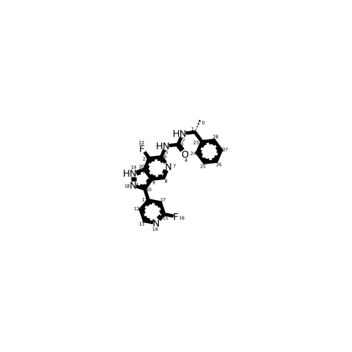 C[C@@H](NC(=O)Nc1ncc2c(-c3ccnc(F)c3)n[nH]c2c1F)c1ccccc1